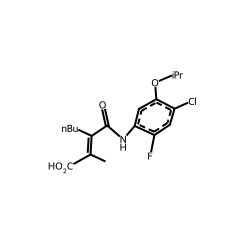 CCCCC(C(=O)Nc1cc(OC(C)C)c(Cl)cc1F)=C(C)C(=O)O